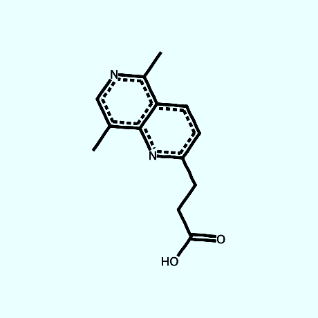 Cc1ncc(C)c2nc(CCC(=O)O)ccc12